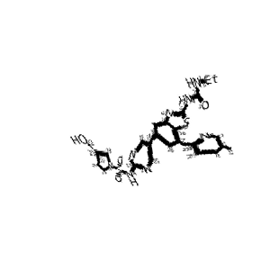 CCNC(=O)Nc1nc2cc(-c3cnc(NS(=O)(=O)N4CC[C@H](O)C4)nc3)cc(-c3ccc(C)cn3)c2s1